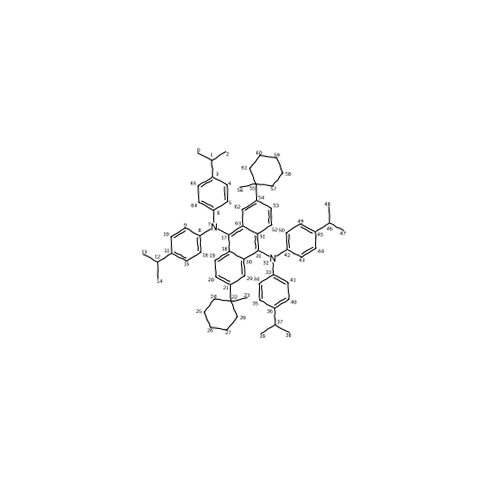 CC(C)c1ccc(N(c2ccc(C(C)C)cc2)c2c3ccc(C4(C)CCCCC4)cc3c(N(c3ccc(C(C)C)cc3)c3ccc(C(C)C)cc3)c3ccc(C4(C)CCCCC4)cc23)cc1